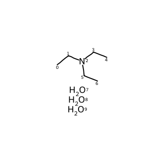 CCN(CC)CC.O.O.O